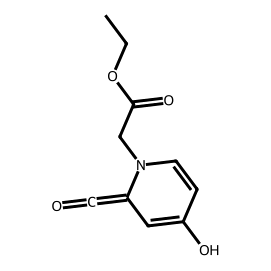 CCOC(=O)CN1C=CC(O)=CC1=C=O